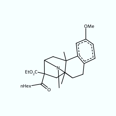 CCCCCCC(=O)C1(C(=O)OCC)CC2(C)C3Cc4ccc(OC)cc4C2(C)CC1N3C